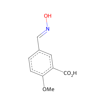 COc1ccc(C=NO)cc1C(=O)O